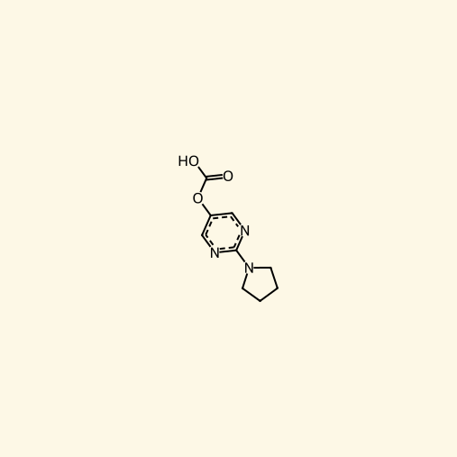 O=C(O)Oc1cnc(N2CCCC2)nc1